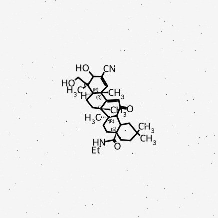 CCNC(=O)[C@]12CCC(C)(C)CC1C1C(=O)C=C3[C@@]4(C)C=C(C#N)C(O)[C@@](C)(CO)[C@@H]4CC[C@@]3(C)[C@]1(C)CC2